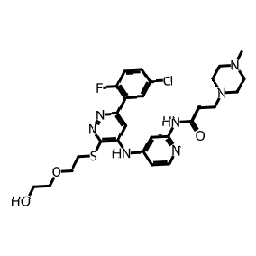 CN1CCN(CCC(=O)Nc2cc(Nc3cc(-c4cc(Cl)ccc4F)nnc3SCCOCCO)ccn2)CC1